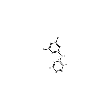 Cc1cc(C)cc(Nc2cnccn2)c1